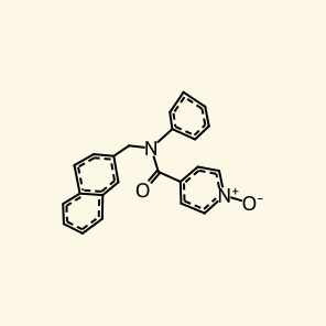 O=C(c1cc[n+]([O-])cc1)N(Cc1ccc2ccccc2c1)c1ccccc1